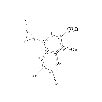 CCOC(=O)c1cn([C@@H]2C[C@@H]2F)c2cc(F)c(F)cc2c1=O